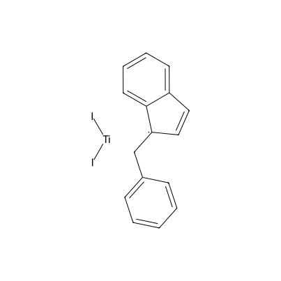 C1=Cc2ccccc2[C]1Cc1ccccc1.[I][Ti][I]